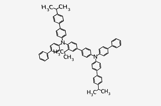 CC(C)c1ccc(-c2ccc(N(c3ccc(-c4ccccc4)cc3)c3ccc(-c4ccc(N(c5ccc(-c6ccccc6)cc5)c5ccc(-c6ccc(C(C)C)cc6)cc5)c(C(C)C)c4)cc3)cc2)cc1